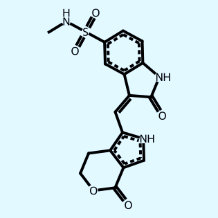 CNS(=O)(=O)c1ccc2c(c1)C(=Cc1[nH]cc3c1CCOC3=O)C(=O)N2